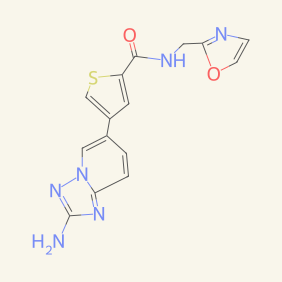 Nc1nc2ccc(-c3csc(C(=O)NCc4ncco4)c3)cn2n1